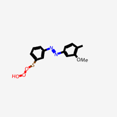 COc1cc(N=Nc2cccc(SOOO)c2)ccc1C